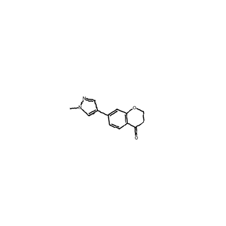 Cn1cc(-c2ccc3c(c2)OCCC3=O)cn1